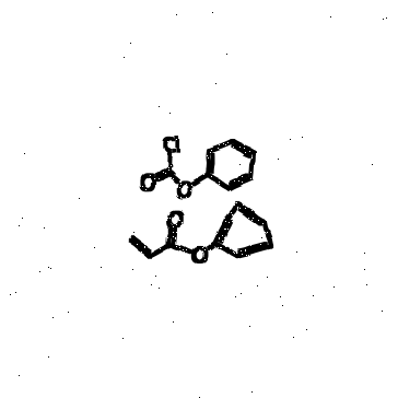 C=CC(=O)Oc1ccccc1.O=C(Cl)Oc1ccccc1